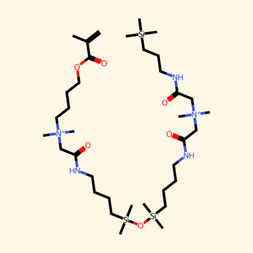 C=C(C)C(=O)OCCCC[N+](C)(C)CC(=O)NCCCC[Si](C)(C)O[Si](C)(C)CCCCNC(=O)C[N+](C)(C)CC(=O)NCCC[Si](C)(C)C